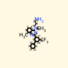 Cc1cccc2c(N(C)CCCN)nc(-c3cc(-c4ccccc4)cc(C(F)(F)F)c3)nc12